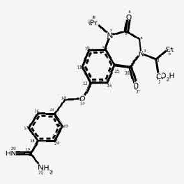 CCC(C(=O)O)N1CC(=O)N(C(C)C)c2ccc(OCc3ccc(C(=N)N)cc3)cc2C1=O